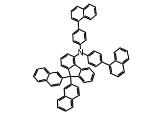 c1ccc2c(c1)-c1c(N(c3ccc(-c4cccc5ccccc45)cc3)c3ccc(-c4cccc5ccccc45)cc3)cccc1C2(c1ccc2ccccc2c1)c1ccc2ccccc2c1